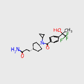 C[C@](O)(c1ccc(C(=O)N(C2CC2)[C@H]2CC[C@@H](CCC(N)=O)CC2)cc1)C(F)(F)F